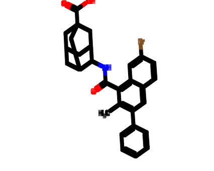 Cc1c(-c2ccccc2)cc2ccc(Br)cc2c1C(=O)NC1C2CC3CC1CC(C(=O)O)(C3)C2